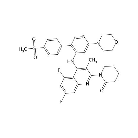 Cc1c(N2CCCCC2=O)nc2cc(F)cc(F)c2c1Nc1cc(N2CCOCC2)ncc1-c1ccc(S(C)(=O)=O)cc1